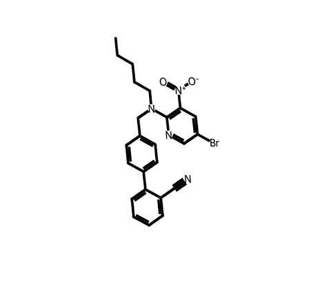 CCCCCN(Cc1ccc(-c2ccccc2C#N)cc1)c1ncc(Br)cc1[N+](=O)[O-]